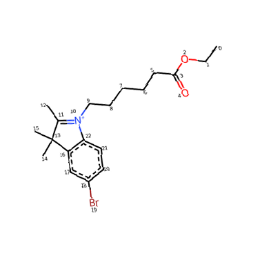 CCOC(=O)CCCCC[N+]1=C(C)C(C)(C)c2cc(Br)ccc21